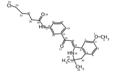 COc1ccc2c(c1)C(=CC(=O)c1cccc(NC(=O)CCCCCl)c1)NC(C)(C)C2